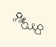 O=C(CN1CCCN(S(=O)(=O)c2ccccc2Cl)CC1)N1CCCC2CCCC=C21